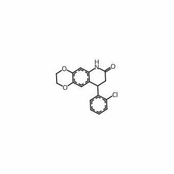 O=C1CC(c2ccccc2Cl)c2cc3c(cc2N1)OCCO3